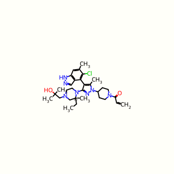 C=CC(=O)N1CCC(n2nc(N3CCN(CC(C)(C)O)C[C@@]3(C)CC)c(-c3c(Cl)c(C)cc4[nH]ncc34)c2C)CC1